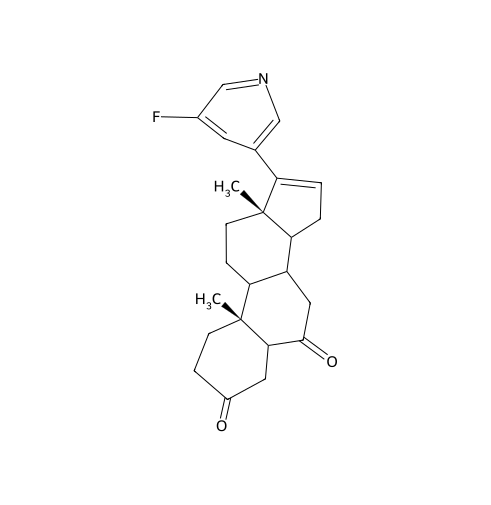 C[C@]12CCC(=O)CC1C(=O)CC1C2CC[C@]2(C)C(c3cncc(F)c3)=CCC12